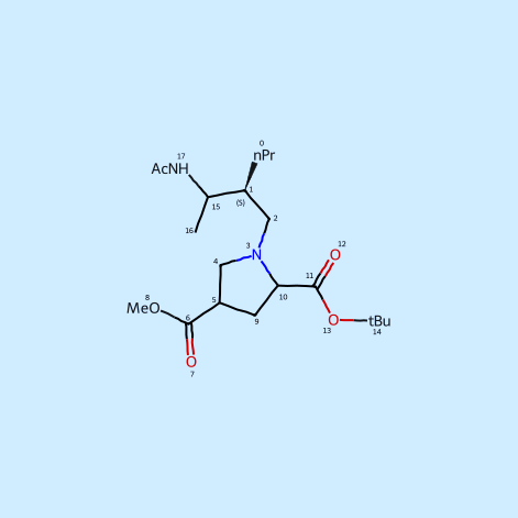 CCC[C@@H](CN1CC(C(=O)OC)CC1C(=O)OC(C)(C)C)C(C)NC(C)=O